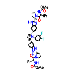 COC(=O)NC(C(=O)N1CCC[C@H]1c1nc2cc([C@H]3CC[C@H](c4ccc5nc([C@@H]6CCCN6C(=O)[C@@H](NC(=O)OC)C(C)C)[nH]c5c4)N3c3ccc(F)c(F)c3)ccc2[nH]1)C(C)C